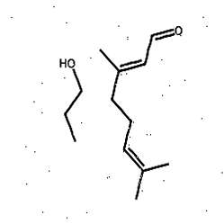 CC(C)=CCCC(C)=CC=O.CCCO